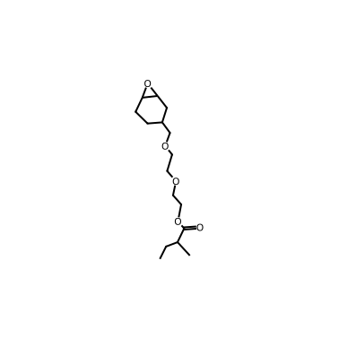 CCC(C)C(=O)OCCOCCOCC1CCC2OC2C1